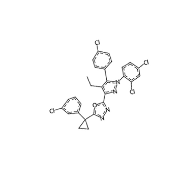 CCc1c(-c2nnc(C3(c4cccc(Cl)c4)CC3)o2)nn(-c2ccc(Cl)cc2Cl)c1-c1ccc(Cl)cc1